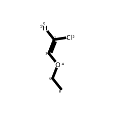 [2H]C(Cl)=COCC